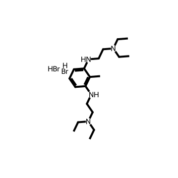 Br.Br.CCN(CC)CCNc1cccc(NCCN(CC)CC)c1C